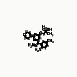 Cc1ccc(N)c(C(=NN)c2cc(OCC(C)(C)O)nc(N3CCOCC3)n2)c1